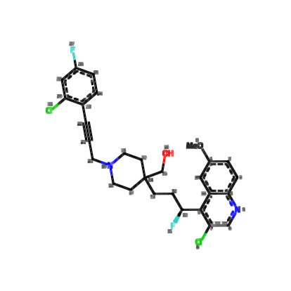 COc1ccc2ncc(Cl)c([C@@H](F)CCC3(CO)CCN(CC#Cc4ccc(F)cc4Cl)CC3)c2c1